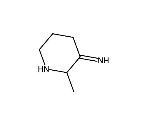 CC1NCCCC1=N